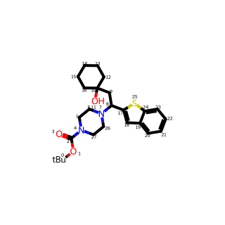 CC(C)(C)OC(=O)N1CCN(C(CC2(O)CCCCC2)c2cc3ccccc3s2)CC1